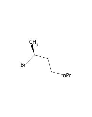 CCCCC[C@H](C)Br